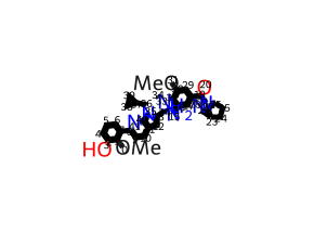 COc1c(O)cccc1-c1ccc2cc(-c3nc4cc(C(=O)N5CC6CCC5C6N)cc(OC)c4n3C)n(CC3CC3)c2n1